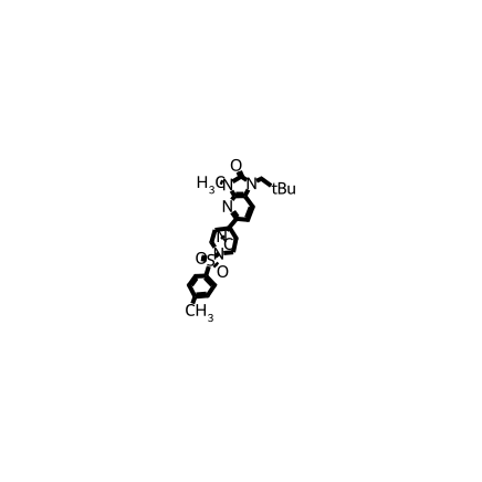 Cc1ccc(S(=O)(=O)N2CC3CCC2CN3c2ccc3c(n2)n(C)c(=O)n3CC(C)(C)C)cc1